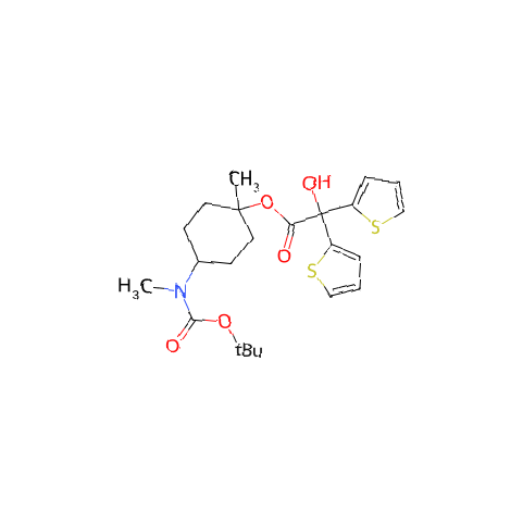 CN(C(=O)OC(C)(C)C)C1CCC(C)(OC(=O)C(O)(c2cccs2)c2cccs2)CC1